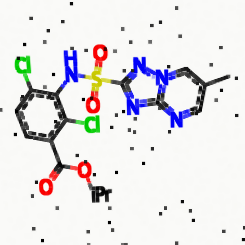 Cc1cnc2nc(S(=O)(=O)Nc3c(Cl)ccc(C(=O)OC(C)C)c3Cl)nn2c1